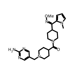 CON=C(c1cccn1C)C1CCN(C(=O)C2CCN(Cc3cnc(N)nc3)CC2)CC1